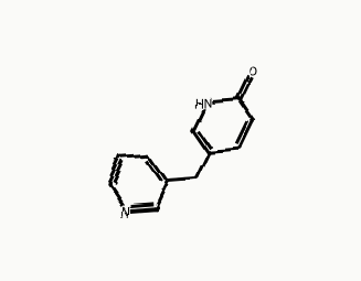 O=c1ccc(Cc2cccnc2)c[nH]1